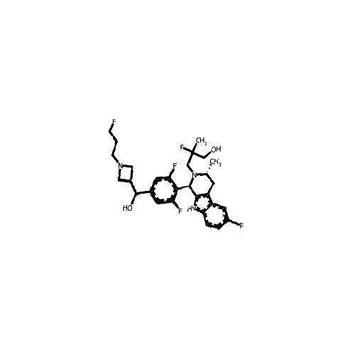 C[C@@H]1Cc2c([nH]c3ccc(F)cc23)[C@@H](c2c(F)cc(C(O)C3CN(CCCF)C3)cc2F)N1CC(C)(F)CO